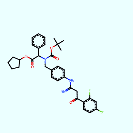 CC(C)(C)OC(=O)N(Cc1ccc(NC(=N)CC(=O)c2ccc(F)cc2F)cc1)C(C(=O)OC1CCCC1)c1ccccc1